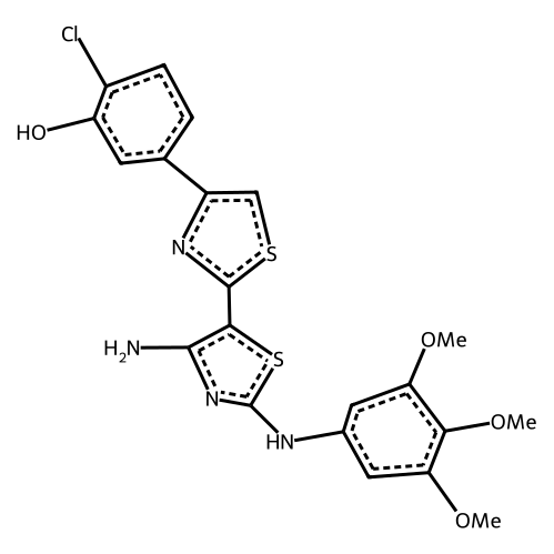 COc1cc(Nc2nc(N)c(-c3nc(-c4ccc(Cl)c(O)c4)cs3)s2)cc(OC)c1OC